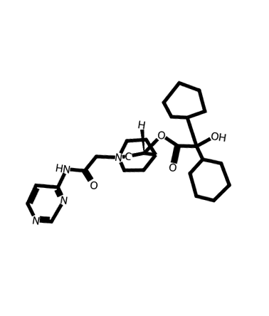 O=C(C[N+]12CCC(CC1)[C@@H](OC(=O)C(O)(C1CCCCC1)C1CCCCC1)C2)Nc1ccncn1